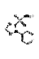 CCCCCC[CH]S(=O)(=O)c1nnnn1-c1ccccc1